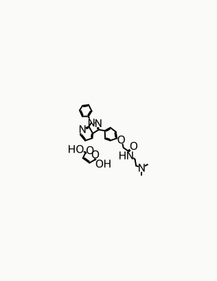 CN(C)CCNC(=O)COc1ccc(-c2nn(-c3ccccc3)c3ncccc23)cc1.O=C(O)/C=C\C(=O)O